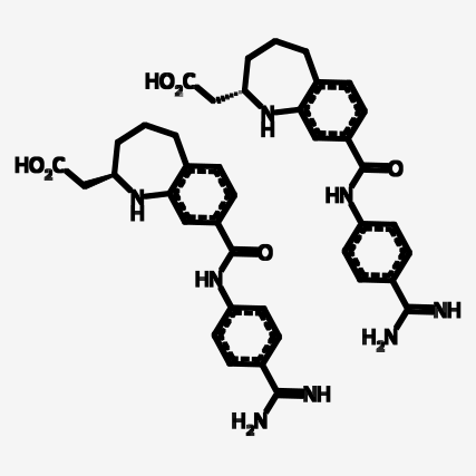 N=C(N)c1ccc(NC(=O)c2ccc3c(c2)N[C@@H](CC(=O)O)CCC3)cc1.N=C(N)c1ccc(NC(=O)c2ccc3c(c2)N[C@H](CC(=O)O)CCC3)cc1